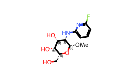 CO[C@@H]1O[C@H](CO)[C@H](O)[C@H](O)[C@@H]1Nc1cccc(F)n1